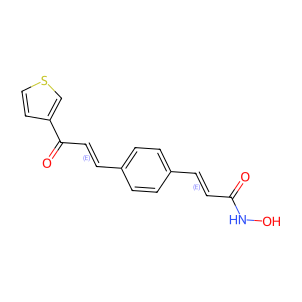 O=C(/C=C/c1ccc(/C=C/C(=O)c2ccsc2)cc1)NO